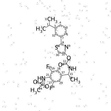 CC(C)c1cccc(-c2nc(OC(=O)NC(C)c3cc(F)c(NS(C)(=O)=O)c(F)c3)cs2)c1